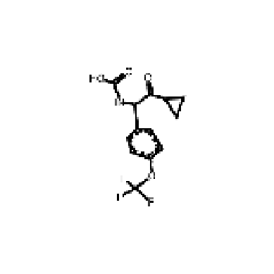 O=C(O)NC(C(=O)C1CC1)c1ccc(OC(F)(F)F)cc1